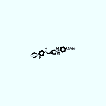 COc1ccc(S(=O)(=O)N2CC3C(CNc4ccc(N5CCOCC5)c(F)c4)C3C2)cc1